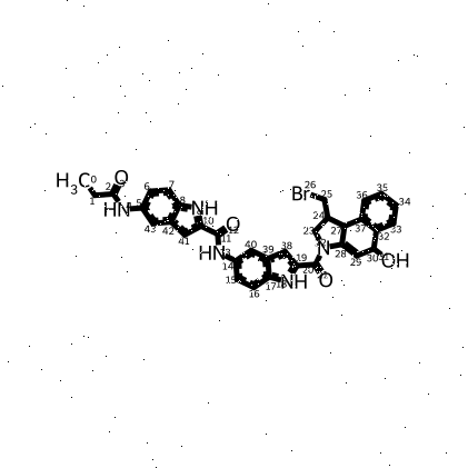 CCC(=O)Nc1ccc2[nH]c(C(=O)Nc3ccc4[nH]c(C(=O)N5CC(CBr)C6C5=CC(O)c5ccccc56)cc4c3)cc2c1